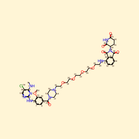 CNc1nc(Nc2ccc(C(=O)N3CCN(CCOCCOCCOCCOCCNc4cccc5c4C(=O)N(C4CCC(=O)NC4=O)C5=O)CC3)cc2OC)ncc1Cl